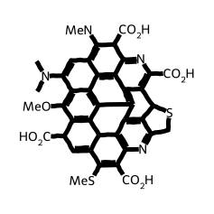 CNC1=c2cc(N(C)C)c3c(OC)c4c5c6c7c8c(c(C(=O)O)nc(c8c2c36)C1C(=O)O)C1SCc2nc3c(c-7c21)C5C(=CC4C(=O)O)C(SC)=C3C(=O)O